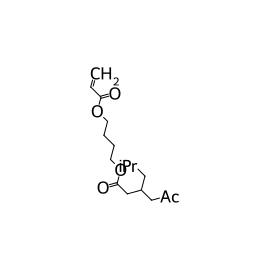 C=CC(=O)OCCCCOC(=O)CC(CC(C)=O)CC(C)C